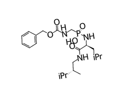 CC(C)C[C@H](NP(=O)(O)CNC(=O)OCc1ccccc1)C(=O)NC[C@H](C)C(C)C